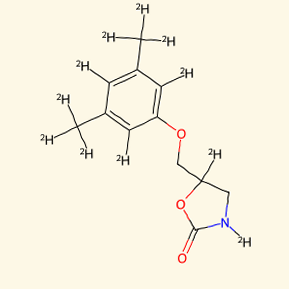 [2H]c1c(OCC2([2H])CN([2H])C(=O)O2)c([2H])c(C([2H])([2H])[2H])c([2H])c1C([2H])([2H])[2H]